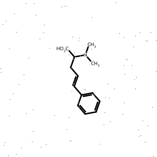 CN(C)C(CC=Cc1ccccc1)C(=O)O